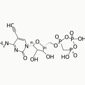 C#Cc1cn([C@@H]2O[C@H](COP3(=O)CP(=O)(O)OP(=O)(O)O3)C(O)C2O)c(=O)nc1N